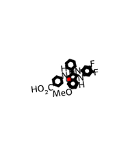 COc1ccc(C2(C(C(=O)NC3CCC(C(=O)O)CC3)C3CCCCC3)Nc3cc(F)c(F)cc3N2)cc1